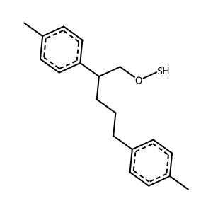 Cc1ccc(CCCC(COS)c2ccc(C)cc2)cc1